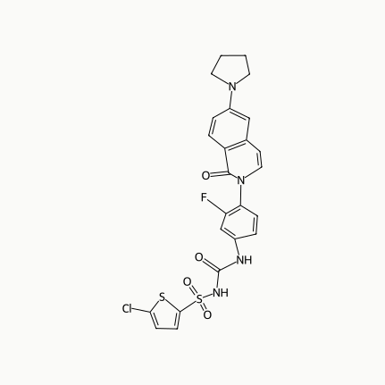 O=C(Nc1ccc(-n2ccc3cc(N4CCCC4)ccc3c2=O)c(F)c1)NS(=O)(=O)c1ccc(Cl)s1